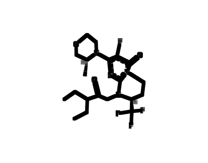 CCC(CC)C(=O)CN1c2nc(N3CCOC[C@H]3C)c(F)c(=O)n2CC[C@H]1C(F)(F)F